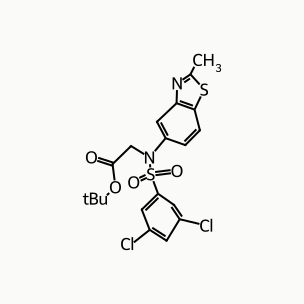 Cc1nc2cc(N(CC(=O)OC(C)(C)C)S(=O)(=O)c3cc(Cl)cc(Cl)c3)ccc2s1